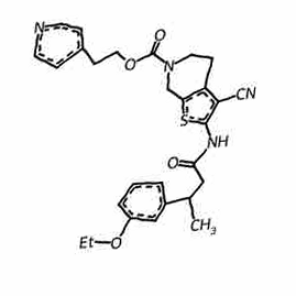 CCOc1cccc(C(C)CC(=O)Nc2sc3c(c2C#N)CCN(C(=O)OCCc2ccncc2)C3)c1